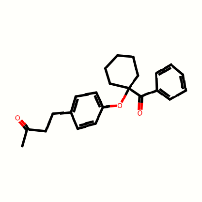 CC(=O)CCc1ccc(OC2(C(=O)c3ccccc3)CCCCC2)cc1